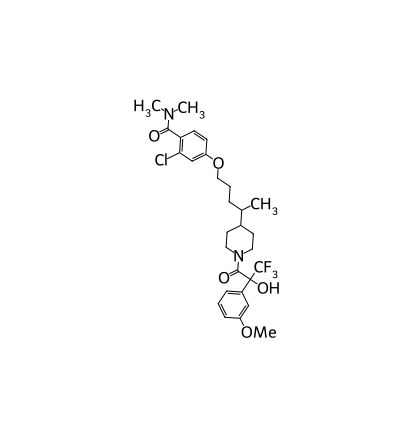 COc1cccc(C(O)(C(=O)N2CCC(C(C)CCCOc3ccc(C(=O)N(C)C)c(Cl)c3)CC2)C(F)(F)F)c1